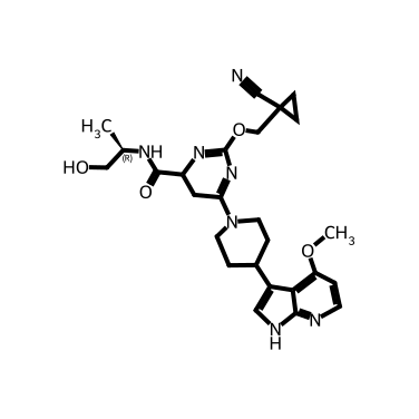 COc1ccnc2[nH]cc(C3CCN(C4=NC(OCC5(C#N)CC5)=NC(C(=O)N[C@H](C)CO)C4)CC3)c12